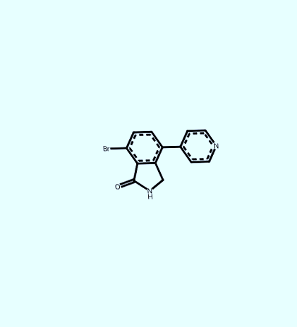 O=C1NCc2c(-c3ccncc3)ccc(Br)c21